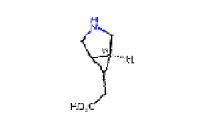 O=C(O)CC1C2CNC[C@H]21